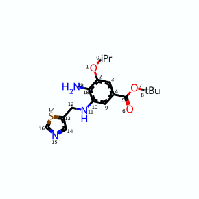 CC(C)Oc1cc(C(=O)OC(C)(C)C)cc(NCc2cncs2)c1N